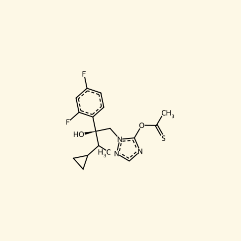 CC(=S)Oc1ncnn1C[C@@](O)(c1ccc(F)cc1F)C(C)C1CC1